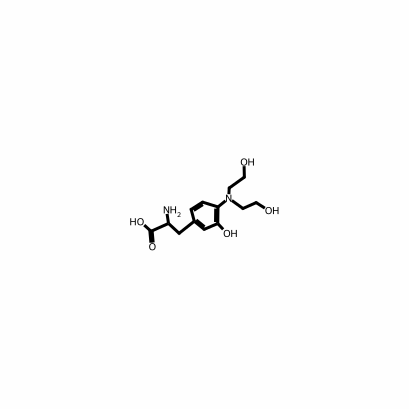 NC(Cc1ccc(N(CCO)CCO)c(O)c1)C(=O)O